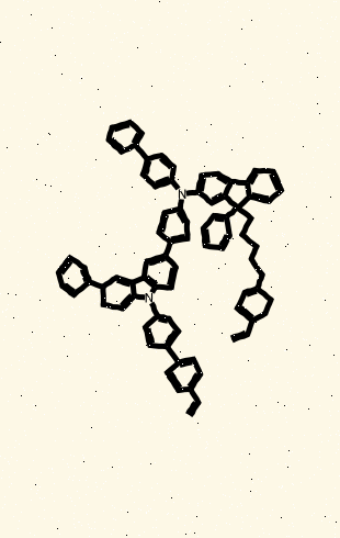 C=CC1=CC=C(CCCCCC2(c3ccccc3)c3ccccc3-c3ccc(N(c4ccc(-c5ccccc5)cc4)c4ccc(-c5ccc6c(c5)c5c(n6-c6ccc(-c7ccc(C=C)cc7)cc6)=CCC(c6ccccc6)C=5)cc4)cc32)CC1